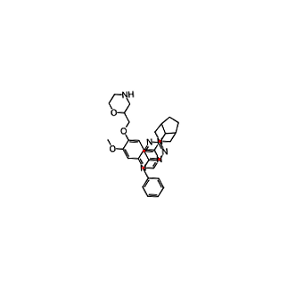 COc1cc2ncnc(N3CC4CCC(C3)C4c3ncc(Cc4ccccc4)cn3)c2cc1OCC1CNCCO1